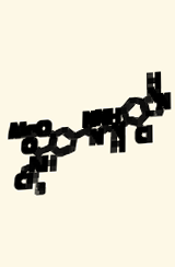 COc1cc(-c2n[nH]c(Nc3ccc4[nH]ncc4c3Cl)n2)ccc1C(=O)NCC(F)(F)F